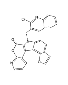 O=c1oc2ncccc2c2c3c4occc4ccc3n(Cc3cc4ccccc4nc3Cl)c12